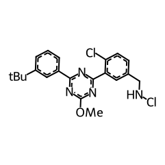 COc1nc(-c2cccc(C(C)(C)C)c2)nc(-c2cc(CNCl)ccc2Cl)n1